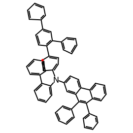 c1ccc(-c2ccc(-c3ccc(N(c4ccc5c(c4)c(-c4ccccc4)c(-c4ccccc4)c4ccccc45)c4ccccc4-c4ccccc4)cc3)c(-c3ccccc3)c2)cc1